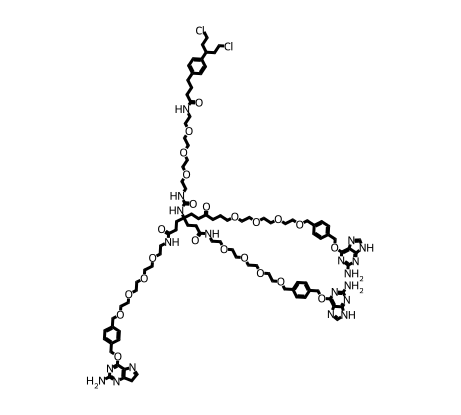 Nc1nc2c(c(OCc3ccc(COCCOCCOCCOCCNC(=O)CCC(CCC(=O)CCCOCCOCCOCCOCc4ccc(COc5nc(N)nc6[nH]cnc56)cc4)(CCC(=O)NCCOCCOCCOCCOCc4ccc(COc5nc(N)nc6[nH]cnc56)cc4)NC(=O)NCCOCCOCCOCCNC(=O)CCCc4ccc(C(CCCl)CCCl)cc4)cc3)n1)N=CC2